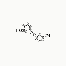 N#Cc1cccc(C#Cc2cccc(O)c2)c1